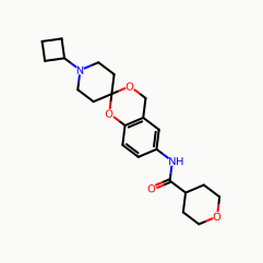 O=C(Nc1ccc2c(c1)COC1(CCN(C3CCC3)CC1)O2)C1CCOCC1